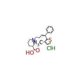 Cc1ccsc1C(=CCCN1CCCC(C(=O)O)C1)c1ccccc1.Cl